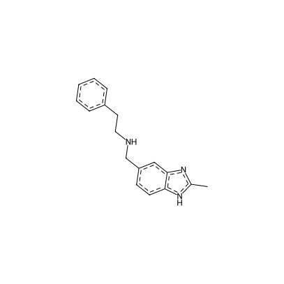 Cc1nc2cc(CNCCc3ccccc3)ccc2[nH]1